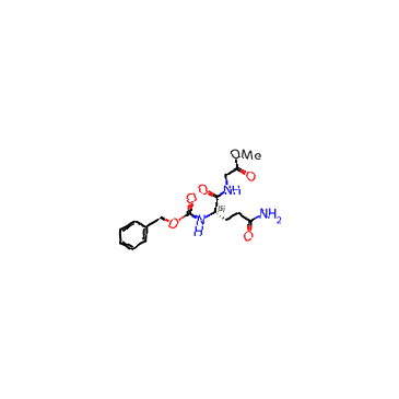 COC(=O)CNC(=O)[C@H](CCC(N)=O)NC(=O)OCc1ccccc1